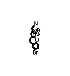 CN(C1=C(CCCC#N)C=Cc2cc(Br)ccc2O1)S(C)(=O)=O